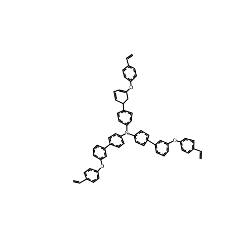 C=Cc1ccc(OC2=CC=CC(c3ccc(N(c4ccc(-c5cccc(Oc6ccc(C=C)cc6)c5)cc4)c4ccc(-c5cccc(Oc6ccc(C=C)cc6)c5)cc4)cc3)C2)cc1